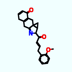 COc1ccccc1C/C=C/C(=O)C1N=C2CC3=C(CC24CC14)C(=O)C=CC3